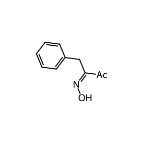 CC(=O)C(Cc1ccccc1)=NO